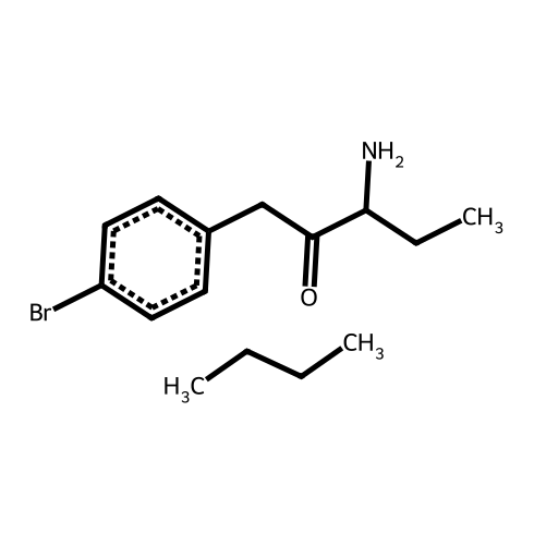 CCC(N)C(=O)Cc1ccc(Br)cc1.CCCC